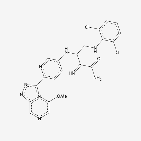 COc1cncc2nnc(-c3ccc(NC(CNc4c(Cl)cccc4Cl)C(=N)C(N)=O)cn3)n12